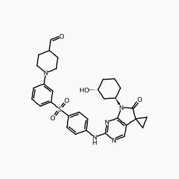 O=CC1CCN(c2cccc(S(=O)(=O)c3ccc(Nc4ncc5c(n4)N([C@@H]4CCC[C@@H](O)C4)C(=O)C54CC4)cc3)c2)CC1